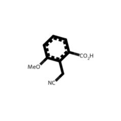 COc1cccc(C(=O)O)c1CC#N